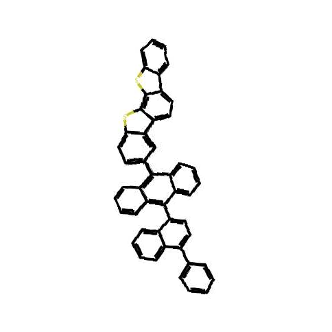 c1ccc(-c2ccc(-c3c4ccccc4c(-c4ccc5sc6c(ccc7c8ccccc8sc76)c5c4)c4ccccc34)c3ccccc23)cc1